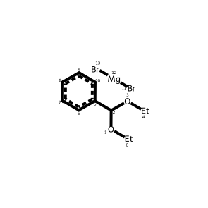 CCOC(OCC)c1c[c]ccc1.[Br][Mg][Br]